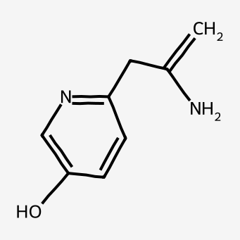 C=C(N)Cc1ccc(O)cn1